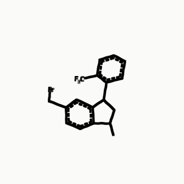 CC1CC(c2ccccc2C(F)(F)F)c2cc(CBr)ccc21